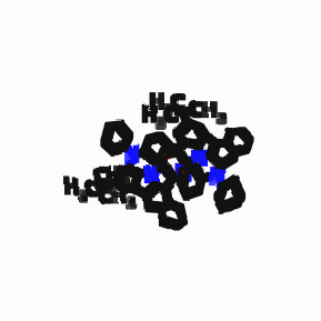 CC(C)(C)c1cc(N(c2ccccc2)c2ccccc2)c2c(c1)c1cc3ccccc3c3c4nc5c(cc4n2c13)c1cc(C(C)(C)C)cc2c3c4ccccc4cc(N(c4ccccc4)c4ccccc4)c3n5c12